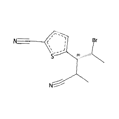 CC(Br)[C@@H](c1ccc(C#N)s1)C(C)C#N